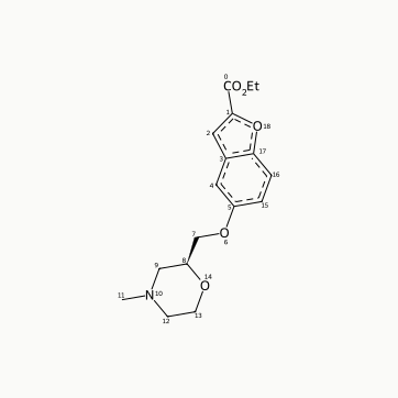 CCOC(=O)c1cc2cc(OC[C@@H]3CN(C)CCO3)ccc2o1